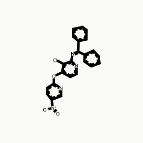 O=[N+]([O-])c1ccc(Oc2ccnc(N=C(c3ccccc3)c3ccccc3)c2Cl)nc1